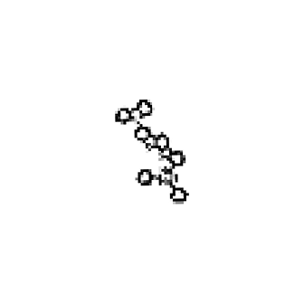 c1ccc(-c2nc(-c3ccccc3)nc(-c3cccc4c3sc3c4ccc4c5cc(-n6c7ccccc7c7ccccc76)ccc5sc43)n2)cc1